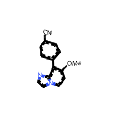 COc1ccn2ccnc2c1-c1ccc(C#N)cc1